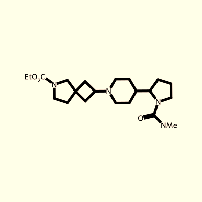 CCOC(=O)N1CCC2(CC(N3CCC(C4CCCN4C(=O)NC)CC3)C2)C1